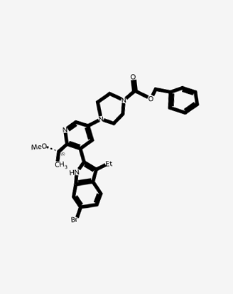 CCc1c(-c2cc(N3CCN(C(=O)OCc4ccccc4)CC3)cnc2[C@H](C)OC)[nH]c2cc(Br)ccc12